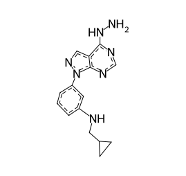 NNc1ncnc2c1cnn2-c1cccc(NCC2CC2)c1